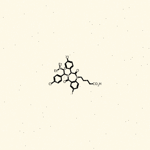 CCN(CC)C(=O)C(c1ccc(Cl)cc1)N1C(=O)c2cc(I)ccc2N(CCCCC(=O)O)C(=O)C1c1ccc(Cl)cc1